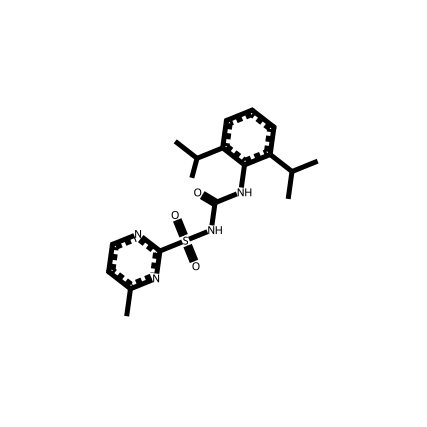 Cc1ccnc(S(=O)(=O)NC(=O)Nc2c(C(C)C)cccc2C(C)C)n1